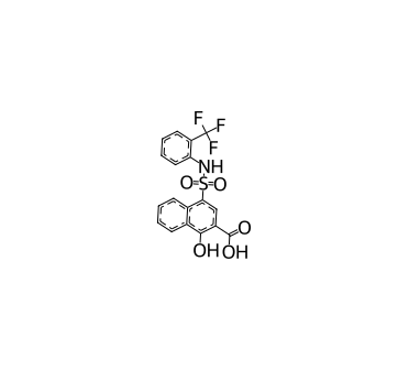 O=C(O)c1cc(S(=O)(=O)Nc2ccccc2C(F)(F)F)c2ccccc2c1O